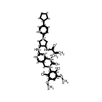 C=CC(=O)NC1CN(c2ccc(C3CCCC3)cn2)CC1Nc1ncc2c(n1)N(C)C(=O)N(c1c(Cl)c(OC)cc(OC)c1Cl)C2